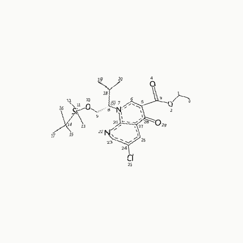 CCOC(=O)c1cn([C@H](CO[Si](C)(C)C(C)(C)C)C(C)C)c2ncc(Cl)cc2c1=O